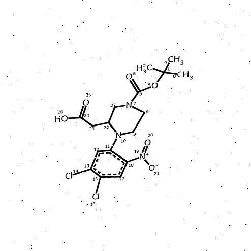 CC(C)(C)OC(=O)N1CCN(c2cc(Cl)c(Cl)cc2[N+](=O)[O-])C(CC(=O)O)C1